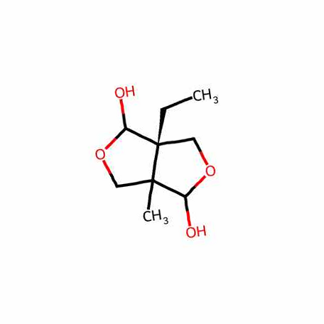 CC[C@@]12COC(O)C1(C)COC2O